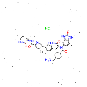 Cc1cc(C(=O)N[C@@H]2CCCNC2=O)ncc1-c1ccc(C[C@@H](C(N)=O)N(c2ccc3[nH]c(=O)[nH]c3c2)C(=O)[C@H]2CC[C@H](CN)CC2)cc1.Cl